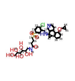 CN(C[C@H](O)[C@@H](O)[C@H](O)[C@H](O)CO)C(=O)CCCS(=O)(=O)c1ccc(Cl)c(CNC2(c3cnccc3-c3ccccc3OC3CC3)CC2)c1